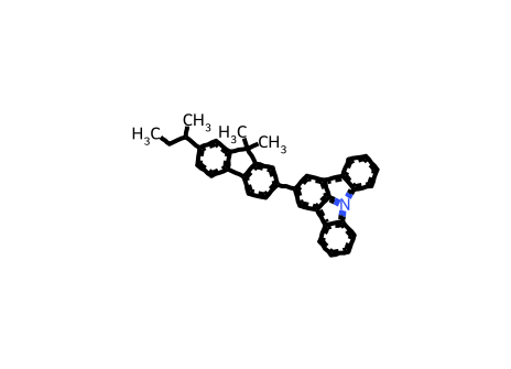 CCC(C)c1ccc2c(c1)C(C)(C)c1cc(-c3cc4c5ccccc5n5c6ccccc6c(c3)c45)ccc1-2